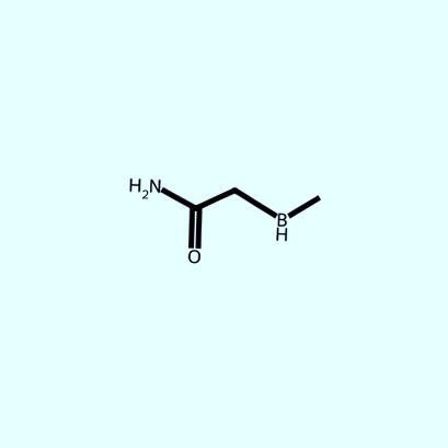 CBCC(N)=O